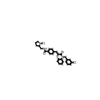 CCN1CCCC1CNC(=O)c1ccc(/C=C2\Sc3ccccc3N(Cc3cccc(Cl)c3)C2=O)cc1